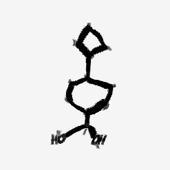 OB(O)c1ccc(C2CCC2)cc1